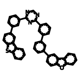 c1cc(-c2cccc(-c3ncnc(-c4cccc(-c5ccc6sc7ccccc7c6c5)c4)n3)c2)cc(-c2ccc3oc4ccccc4c3c2)c1